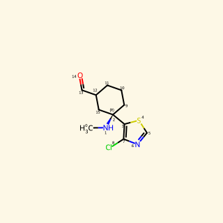 CN[C@]1(c2scnc2Cl)CCCC(C=O)C1